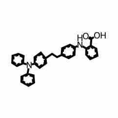 O=C(O)c1ccccc1Nc1ccc(CCc2ccc(N(c3ccccc3)c3ccccc3)cc2)cc1